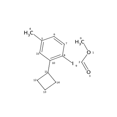 COC=O.Cc1ccc(I)c(C2CCC2)c1